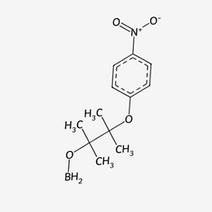 BOC(C)(C)C(C)(C)Oc1ccc([N+](=O)[O-])cc1